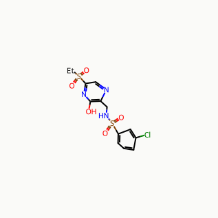 CCS(=O)(=O)c1cnc(CNS(=O)(=O)c2cccc(Cl)c2)c(O)n1